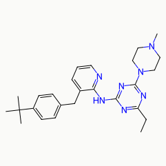 CCc1nc(Nc2ncccc2Cc2ccc(C(C)(C)C)cc2)nc(N2CCN(C)CC2)n1